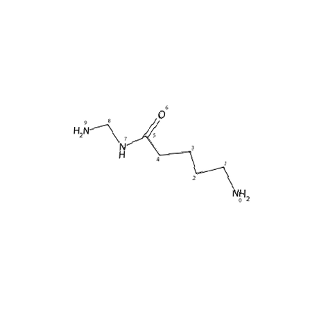 NCCCCC(=O)NCN